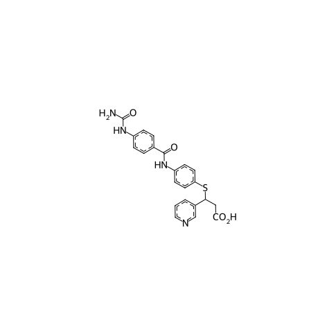 NC(=O)Nc1ccc(C(=O)Nc2ccc(SC(CC(=O)O)c3cccnc3)cc2)cc1